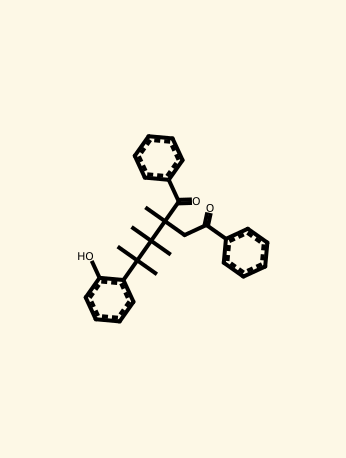 CC(CC(=O)c1ccccc1)(C(=O)c1ccccc1)C(C)(C)C(C)(C)c1ccccc1O